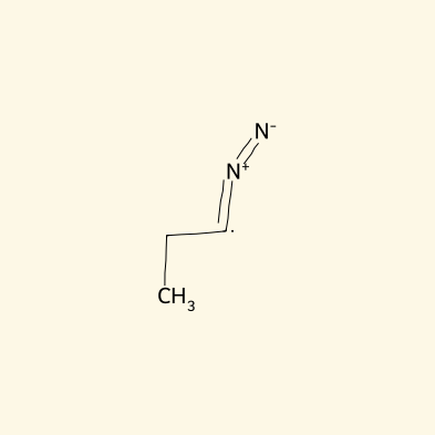 CC[C]=[N+]=[N-]